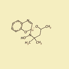 CC1CC(C)(C)N(O)[C@@]2(C=Nc3ccccc3O2)O1